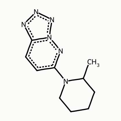 CC1CCCCN1c1ccc2nnnn2n1